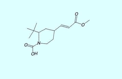 COC(=O)C=CC1CCN(C(=O)O)C(C(C)(C)C)C1